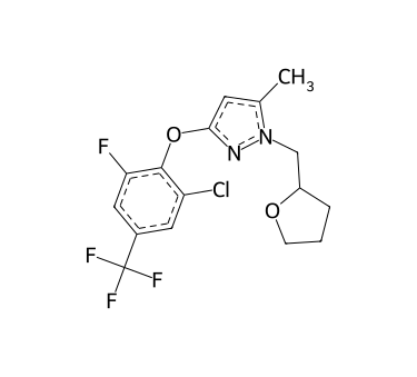 Cc1cc(Oc2c(F)cc(C(F)(F)F)cc2Cl)nn1CC1CCCO1